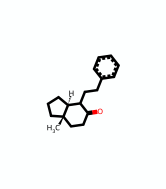 C[C@@]12CCC[C@H]1C(CCc1ccccc1)C(=O)CC2